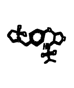 CC(C)S(=O)(=O)NC1COCC1Oc1ccc(CN2CCCS2(=O)=O)cc1